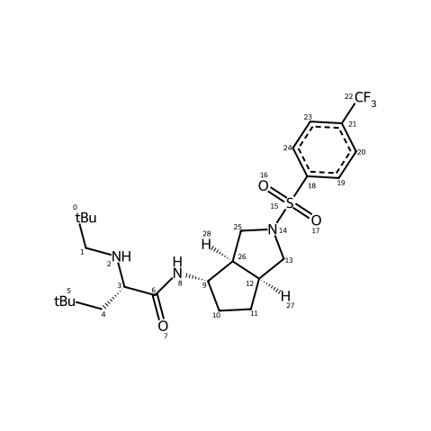 CC(C)(C)CN[C@@H](CC(C)(C)C)C(=O)N[C@H]1CC[C@@H]2CN(S(=O)(=O)c3ccc(C(F)(F)F)cc3)C[C@@H]21